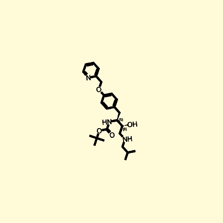 CC(C)CNC[C@@H](O)[C@H](Cc1ccc(OCc2ccccn2)cc1)NC(=O)OC(C)(C)C